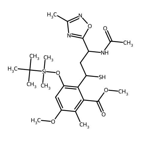 COC(=O)c1c(C)c(OC)cc(O[Si](C)(C)C(C)(C)C)c1C(S)CC(NC(C)=O)c1nc(C)no1